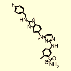 Cc1ccc(Nc2nccc(N(C)c3ccc4c(c3)nc(NCc3ccc(F)cc3)n4C)n2)cc1S(N)(=O)=O